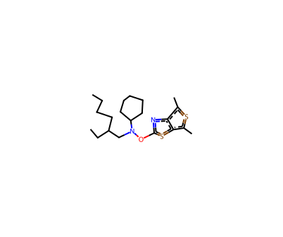 CCCCC(CC)CN(Oc1nc2c(C)sc(C)c2s1)C1CCCCC1